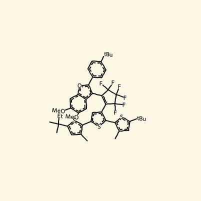 CCC(C)(C)c1cc(C)c(-c2cc(C3=C(c4c(-c5ccc(C(C)(C)C)cc5)oc5cc(OC)c(OC)cc45)C(F)(F)C(F)(F)C3(F)F)c(-c3sc(C(C)(C)C)cc3C)s2)s1